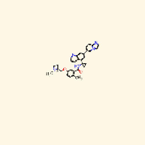 Cc1ccc(OC[C@@H]2CCN2C)cc1C(=O)NC1(c2cc(-c3ccc4nccn4c3)cc3ncccc23)CC1